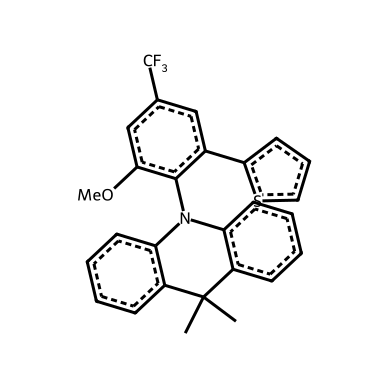 COc1cc(C(F)(F)F)cc(-c2cccs2)c1N1c2ccccc2C(C)(C)c2ccccc21